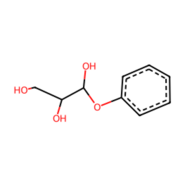 OCC(O)C(O)Oc1ccccc1